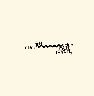 CCCCCCCCCCC(O)CCCCCCCC=CC[C@@H](CCCCCC)O[Si](C)(C)C(C)(C)C